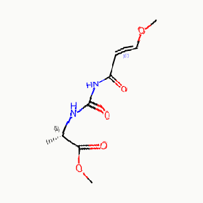 CO/C=C/C(=O)NC(=O)N[C@@H](C)C(=O)OC